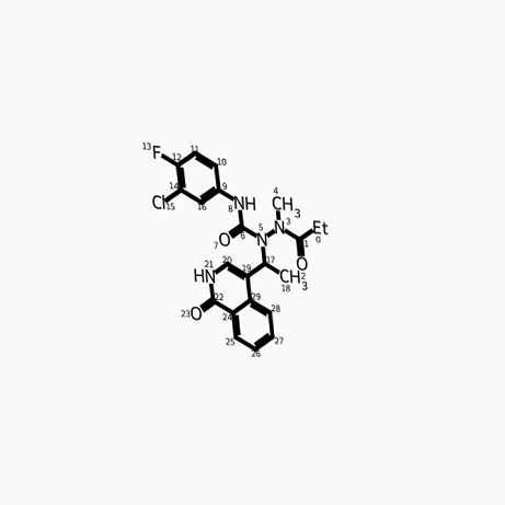 CCC(=O)N(C)N(C(=O)Nc1ccc(F)c(Cl)c1)C(C)c1c[nH]c(=O)c2ccccc12